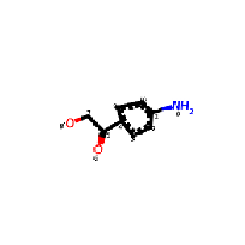 Nc1ccc(C(=O)C[O])cc1